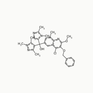 COc1nc2c(C)cc(C(O)(c3c(C)nn(C)c3C)c3cnc(C)n3C)cc2c(Cl)c1OCc1ccccc1